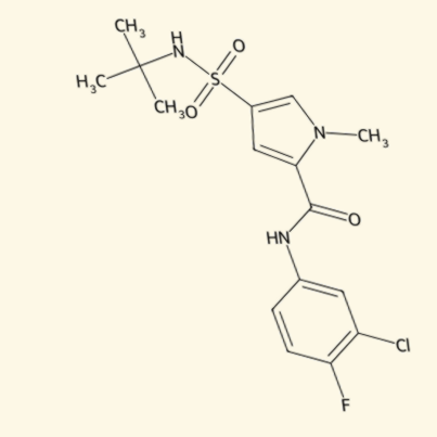 Cn1cc(S(=O)(=O)NC(C)(C)C)cc1C(=O)Nc1ccc(F)c(Cl)c1